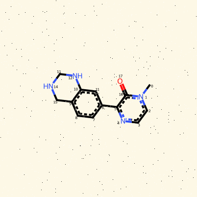 Cn1ccnc(-c2ccc3c(c2)NCNC3)c1=O